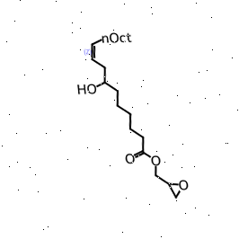 CCCCCCCC/C=C\CC(O)CCCCCC(=O)OCC1CO1